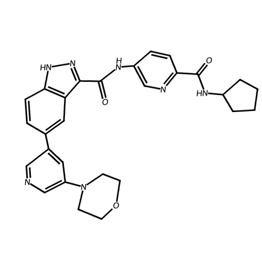 O=C(NC1CCCC1)c1ccc(NC(=O)c2n[nH]c3ccc(-c4cncc(N5CCOCC5)c4)cc23)cn1